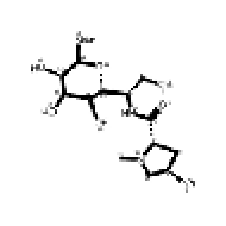 CCC[C@@H]1C[C@@H](C(=O)N[C@H](CO)[C@H]2OC(SC)[C@H](O)C(O)C2O)N(C)C1